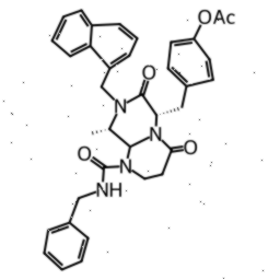 CC(=O)Oc1ccc(C[C@H]2C(=O)N(Cc3cccc4ccccc34)[C@@H](C)C3N(C(=O)NCc4ccccc4)CCC(=O)N32)cc1